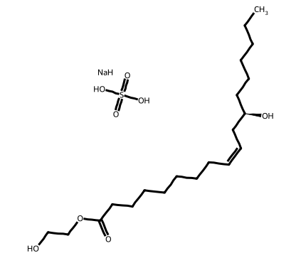 CCCCCC[C@@H](O)C/C=C\CCCCCCCC(=O)OCCO.O=S(=O)(O)O.[NaH]